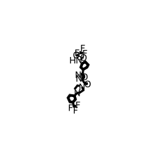 O=C(c1nnc(-c2cccc(NS(=O)(=O)C(F)(F)F)c2)o1)N1CCN(c2cccc(C(F)(F)F)c2)CC1